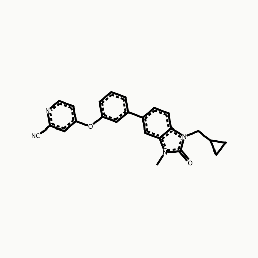 Cn1c(=O)n(CC2CC2)c2ccc(-c3cccc(Oc4ccnc(C#N)c4)c3)cc21